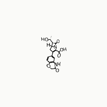 C[C@@H](O)[C@H]1C(=O)N2C(C(=O)O)=C(c3ccc4c(c3)NC(=O)CO4)C[C@H]12